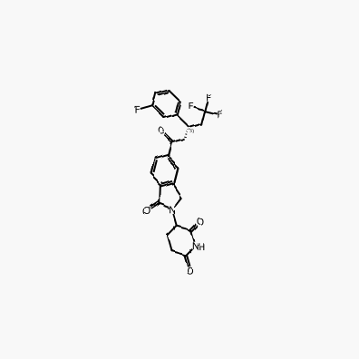 O=C1CCC(N2Cc3cc(C(=O)C[C@@H](CC(F)(F)F)c4cccc(F)c4)ccc3C2=O)C(=O)N1